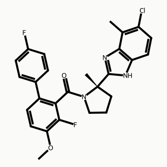 COc1ccc(-c2ccc(F)cc2)c(C(=O)N2CCC[C@@]2(C)c2nc3c(C)c(Cl)ccc3[nH]2)c1F